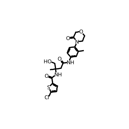 Cc1cc(NC(=O)CC(C)(CO)NC(=O)c2ccc(Cl)s2)ccc1N1CCOCC1=O